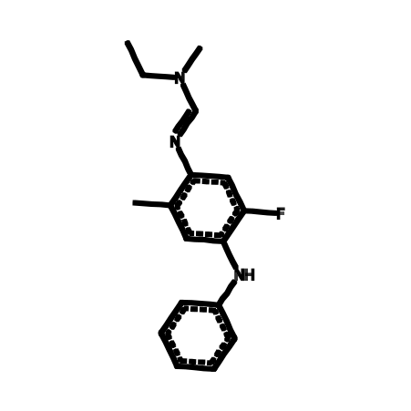 CCN(C)C=Nc1cc(F)c(Nc2ccccc2)cc1C